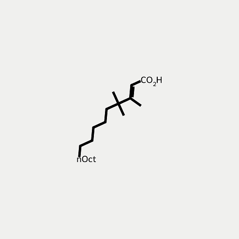 CCCCCCCCCCCCCC(C)(C)C(C)=CC(=O)O